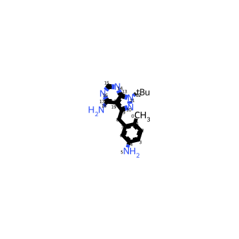 Cc1ccc(N)cc1Cc1nn(C(C)(C)C)c2ncnc(N)c12